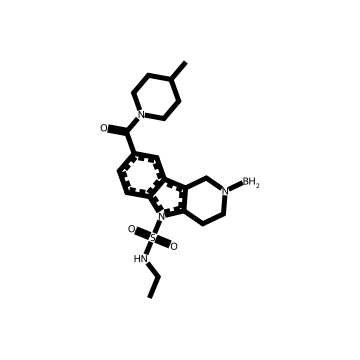 BN1CCc2c(c3cc(C(=O)N4CCC(C)CC4)ccc3n2S(=O)(=O)NCC)C1